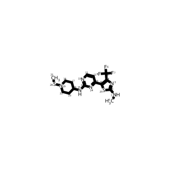 CNc1nc(C(F)(F)F)c(-c2ccnc(NC3CCN(SC)CC3)n2)s1